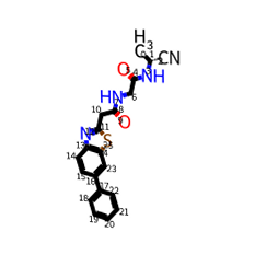 C[C@H](C#N)NC(=O)CNC(=O)Cc1nc2ccc(-c3ccccc3)cc2s1